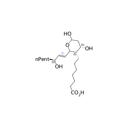 CCCCC[C@H](O)/C=C/C1OC(O)C[C@H](O)[C@@H]1CCCCCCC(=O)O